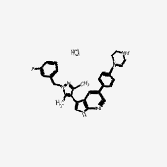 Cc1nn(Cc2cccc(F)c2)c(C)c1-c1c[nH]c2ncc(-c3ccc(N4CCNCC4)cc3)cc12.Cl